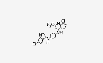 FC(F)(F)c1cc(N[C@H]2CC[C@@H](Nc3ccnc4cc(Cl)ccc34)CC2)c2cccc(Cl)c2n1